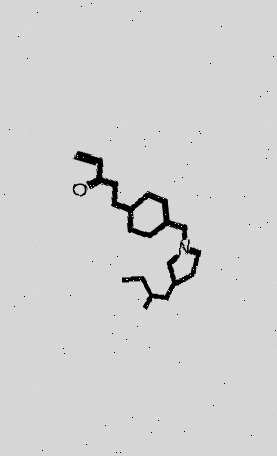 C=CC(=O)CCC1CCC(CN2CCC(CC(C)CC)C2)CC1